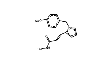 COc1ccc(Cn2cccc2/C=C/C(=O)NO)cc1